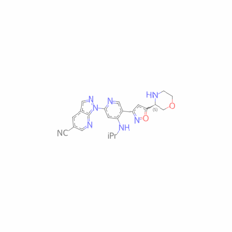 CC(C)Nc1cc(-n2ncc3cc(C#N)cnc32)ncc1-c1cc([C@@H]2COCCN2)on1